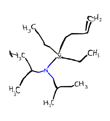 C=CC[Si](CC)(CC)N(C(C)C)C(C)C